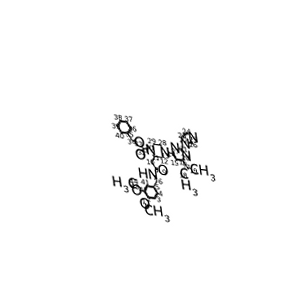 COc1ccc(CNC(=O)CC2CN(c3cc(C(C)C)nc(-n4ccnc4)n3)CCN2C(=O)OCc2ccccc2)cc1OC